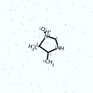 CC1NC[NH+]([O-])C1C